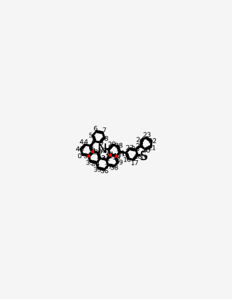 c1ccc(-c2ccccc2N(c2ccc(-c3ccc4sc5ccccc5c4c3)cc2)c2cccc3ccc4ccccc4c23)cc1